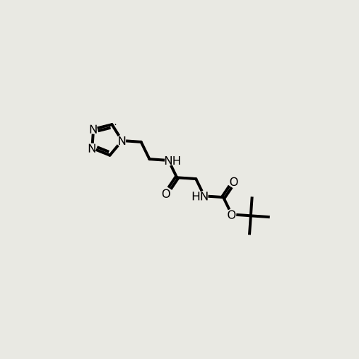 CC(C)(C)OC(=O)NCC(=O)NCCn1[c]nnc1